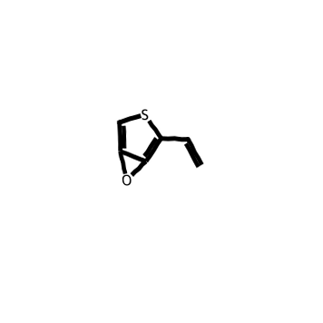 C=Cc1scc2c1O2